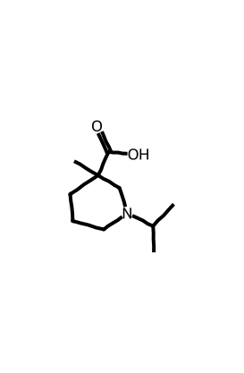 CC(C)N1CCCC(C)(C(=O)O)C1